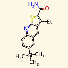 CCc1c(C(N)=O)sc2nc3ccc([Si](C)(C)C)cc3cc12